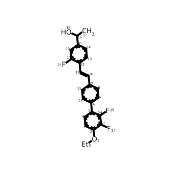 CCOc1ccc(-c2ccc(/C=C/c3ccc(C(C)O)cc3F)cc2)c(F)c1F